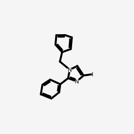 Ic1cn(Cc2ccccc2)c(-c2ccccc2)n1